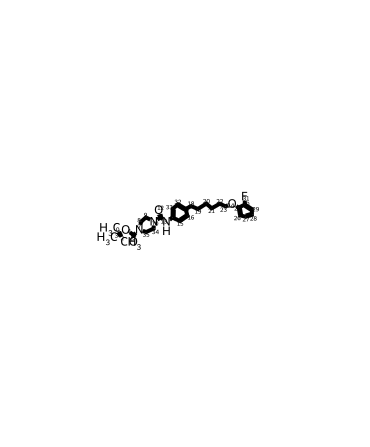 CC(C)(C)OC(=O)N1CCN(C(=O)Nc2ccc(CCCCCCOc3ccccc3F)cc2)CC1